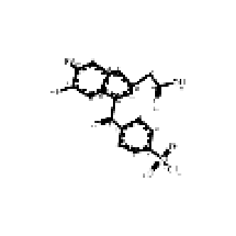 CS(=O)(=O)c1ccc(C(=O)c2cc(CC(=O)O)cc3cc(F)c(F)cc23)cc1